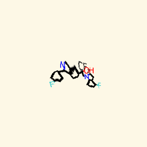 OC(Cn1ccc2c(F)cccc21)(c1ccc2c(c1)C=NC2c1ccc(F)cc1)C(F)(F)F